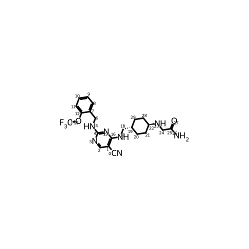 N#Cc1cnc(NCc2ccccc2OC(F)(F)F)nc1NC[C@H]1CC[C@H](NCC(N)=O)CC1